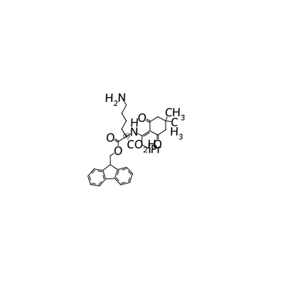 CC(C)CC(N[C@@](CCCCN)(C(=O)O)C(=O)OCC1c2ccccc2-c2ccccc21)=C1C(=O)CC(C)(C)CC1=O